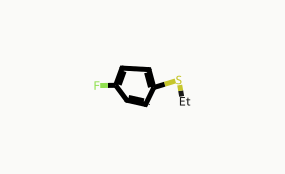 CCSc1[c]cc(F)cc1